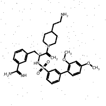 C=C([C@H](Cc1cccc(C(=N)N)c1)NS(=O)(=O)c1cccc(-c2ccc(OC)cc2OC)c1)N1CCC(CCN)CC1